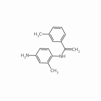 C=C(Nc1ccc(N)cc1C)c1cccc(C)c1